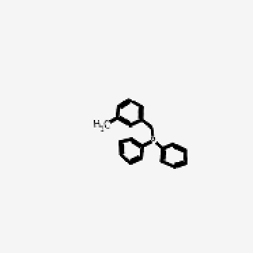 Cc1cccc(CP(c2ccccc2)c2ccccc2)c1